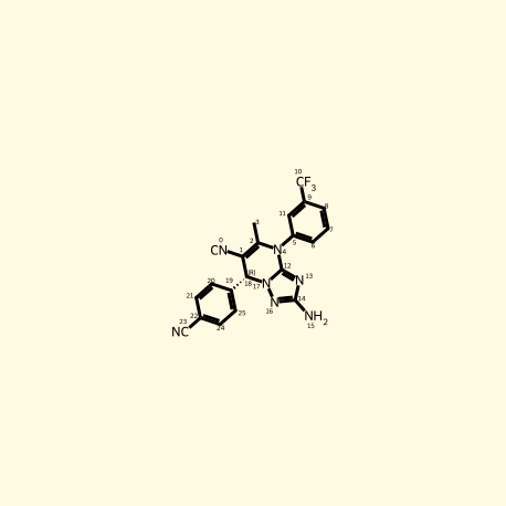 [C-]#[N+]C1=C(C)N(c2cccc(C(F)(F)F)c2)c2nc(N)nn2[C@@H]1c1ccc(C#N)cc1